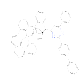 c1ccc(-c2ccc(-c3nc(-c4ccccc4)cc(-c4ccc(-c5cccc6c5C(c5ccccc5)(c5ccccc5)c5c-6ccc6ccccc56)c5ccccc45)n3)cc2)cc1